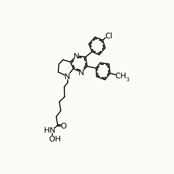 Cc1ccc(-c2nc3c(nc2-c2ccc(Cl)cc2)CCCN3CCCCCCC(=O)NO)cc1